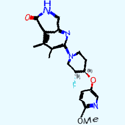 COc1ccc(O[C@@H]2CCN(c3nc4c(c(C)c3C)C(=O)NC4)C[C@H]2F)cn1